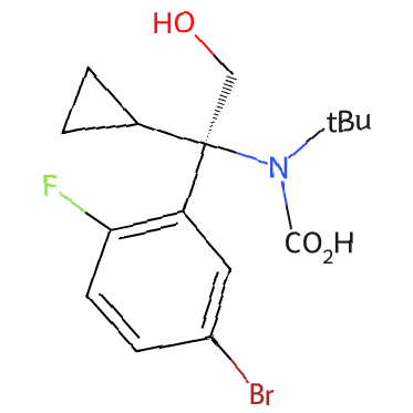 CC(C)(C)N(C(=O)O)[C@@](CO)(c1cc(Br)ccc1F)C1CC1